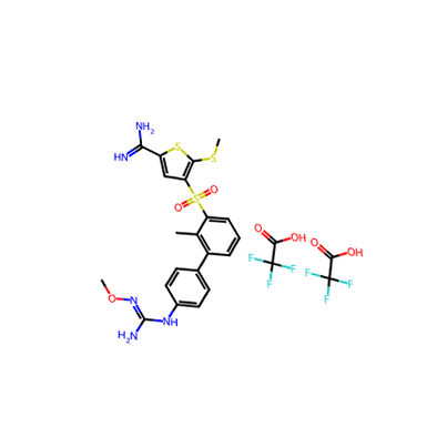 CON=C(N)Nc1ccc(-c2cccc(S(=O)(=O)c3cc(C(=N)N)sc3SC)c2C)cc1.O=C(O)C(F)(F)F.O=C(O)C(F)(F)F